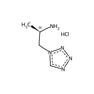 C[C@@H](N)Cn1cnnn1.Cl